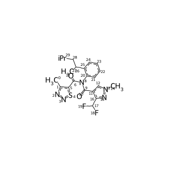 Cc1nnsc1C(=O)N(C(=O)c1cn(C)nc1C(F)F)c1ccccc1C(C)CC(C)C